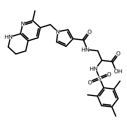 Cc1cc(C)c(S(=O)(=O)NC(CNC(=O)c2ccn(Cc3cc4c(nc3C)NCCC4)c2)C(=O)O)c(C)c1